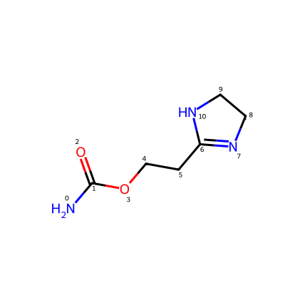 NC(=O)OCCC1=N[CH]CN1